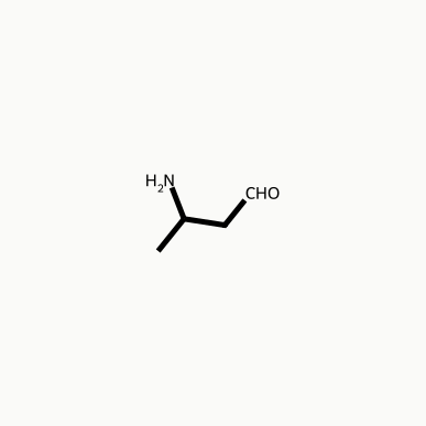 CC(N)CC=O